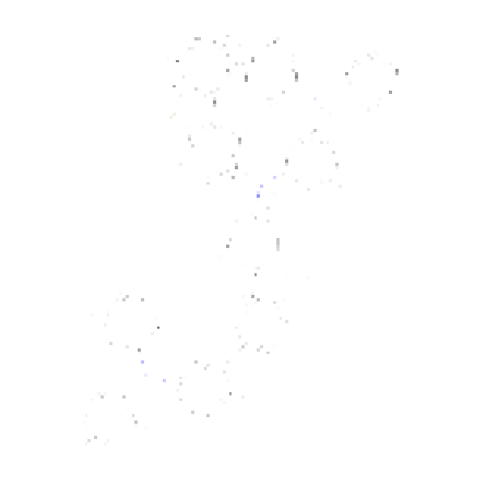 c1ccc(N(c2ccccc2)c2cccc(-c3ccc4sc5cc(N(c6cccc(N(c7ccccc7)c7ccccc7)c6)c6ccc7sc8ccccc8c7c6)ccc5c4c3)c2)cc1